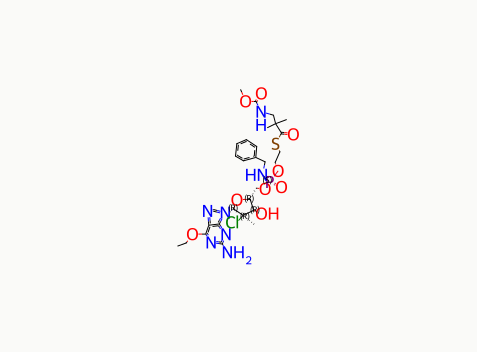 CCOc1nc(N)nc2c1ncn2[C@@H]1O[C@H](CO[P@@](=O)(NCc2ccccc2)OCCSC(=O)C(C)(C)CNC(=O)OC)[C@@H](O)[C@@]1(C)Cl